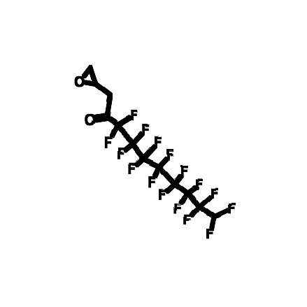 O=C(CC1CO1)C(F)(F)C(F)(F)C(F)(F)C(F)(F)C(F)(F)C(F)(F)C(F)(F)C(F)F